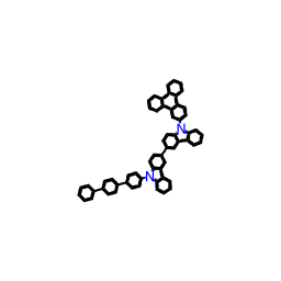 c1ccc(-c2ccc(-c3ccc(-n4c5ccccc5c5cc(-c6ccc7c(c6)c6ccccc6n7-c6ccc7c8ccccc8c8ccccc8c7c6)ccc54)cc3)cc2)cc1